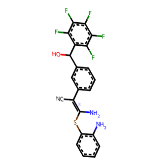 N#C/C(=C(/N)Sc1ccccc1N)c1cccc(C(O)c2c(F)c(F)c(F)c(F)c2F)c1